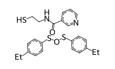 CCc1ccc(SOSc2ccc(CC)cc2)cc1.O=C(NCCS)c1cccnc1